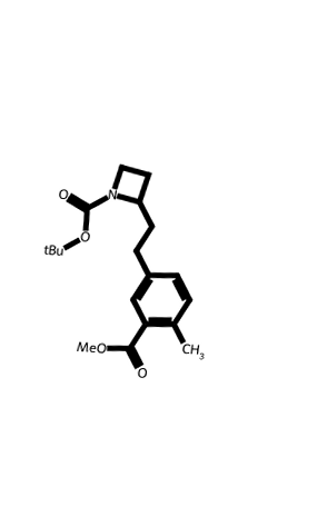 COC(=O)c1cc(CCC2CCN2C(=O)OC(C)(C)C)ccc1C